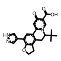 CC(C)(C)C1Cc2c(cc(-c3cn[nH]c3)c3c2CCO3)-c2cc(=O)c(C(=O)O)cn21